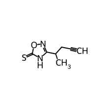 C#CCC(C)c1noc(=S)[nH]1